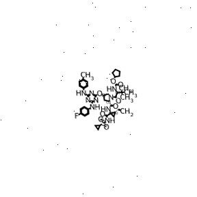 C=C[C@@H]1C[C@]1(NC(=O)[C@@H]1C[C@@H](Oc2nc(Nc3ccc(C)cc3)nc(Nc3ccc(F)cc3)n2)CN1C(=O)[C@@H](NC(=O)OC1CCCC1)C(C)(C)C)C(=O)NS(=O)(=O)C1CC1